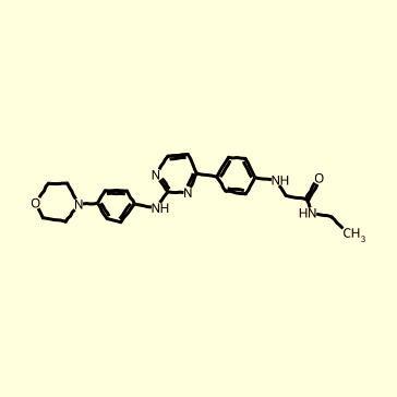 CCNC(=O)CNc1ccc(-c2ccnc(Nc3ccc(N4CCOCC4)cc3)n2)cc1